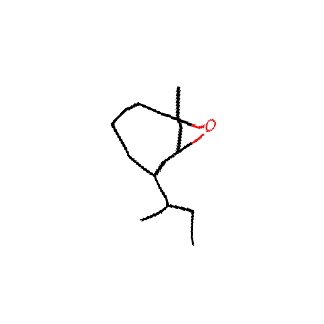 CCC(C)C1CCCC2(C)OC12